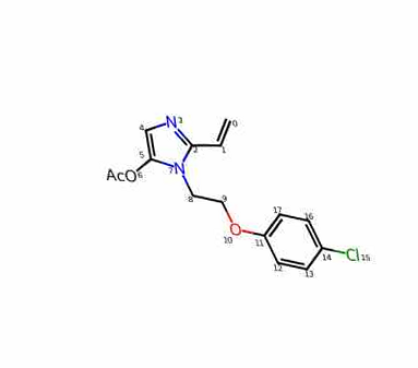 C=Cc1ncc(OC(C)=O)n1CCOc1ccc(Cl)cc1